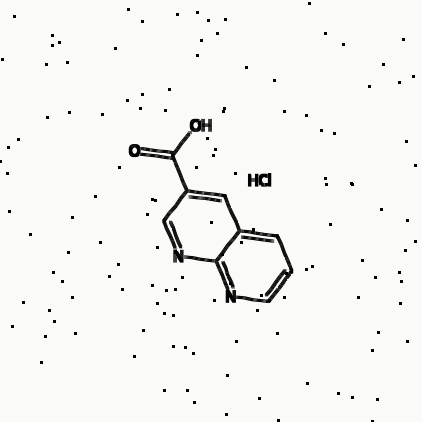 Cl.O=C(O)c1cnc2ncccc2c1